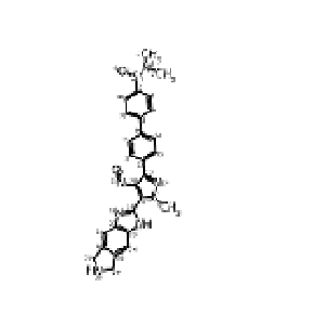 CN(C)[S+]([O-])c1ccc(-c2ccc(-c3nn(C)c(-c4nc5cc6c(cc5[nH]4)CNC6)c3N=O)cc2)cc1